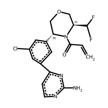 C=CC(=O)N1[C@H](c2cc(Cl)cc(-c3ccnc(N)n3)c2)COC[C@H]1C(F)F